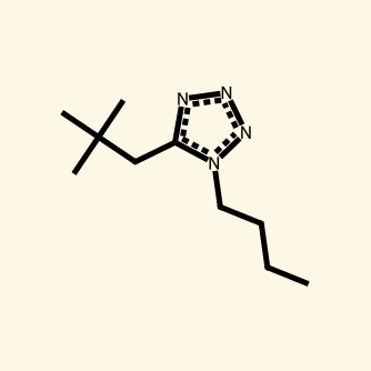 CCCCn1nnnc1CC(C)(C)C